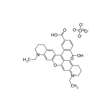 CCN1CCCc2cc3c(cc21)Oc1cc2c(cc1=C3c1cc(C(=O)O)ccc1C(=O)O)CCC[N+]=2CC.[O-][Cl+3]([O-])([O-])[O-]